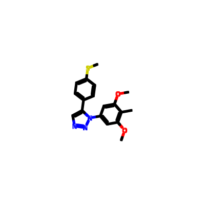 COc1cc(-n2nncc2-c2ccc(SC)cc2)cc(OC)c1C